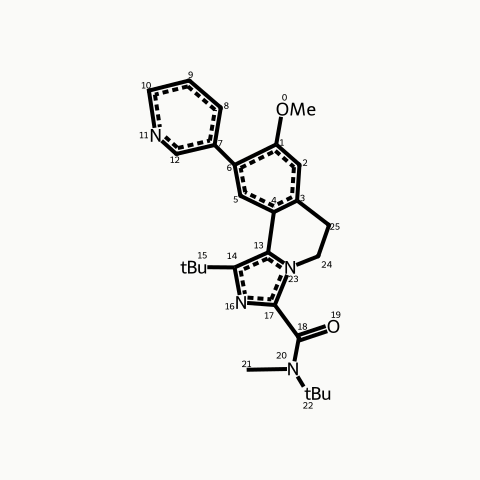 COc1cc2c(cc1-c1cccnc1)-c1c(C(C)(C)C)nc(C(=O)N(C)C(C)(C)C)n1CC2